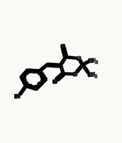 CCc1ccc(C=C2C(=O)OC(C)(C)OC2=O)cc1